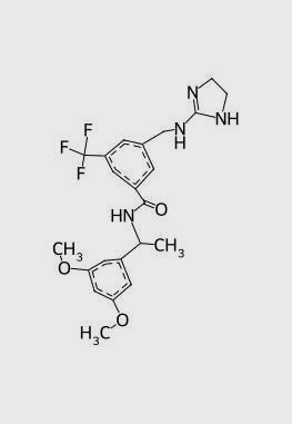 COc1cc(OC)cc(C(C)NC(=O)c2cc(CNC3=NCCN3)cc(C(F)(F)F)c2)c1